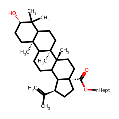 C=C(C)[C@@H]1CC[C@]2(C(=O)OCCCCCCC)CC[C@]3(C)C(CCC4[C@@]5(C)CC[C@H](O)C(C)(C)C5CC[C@]43C)C12